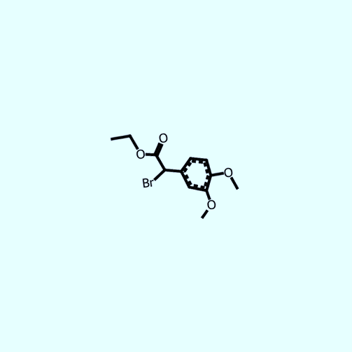 CCOC(=O)C(Br)c1ccc(OC)c(OC)c1